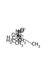 CCCCCCCCCC(=O)[NH][Ti+2]([C]1=C(C)C(C)=C(C)C1C)[SiH](c1ccccc1)c1ccccc1.[Cl-].[Cl-]